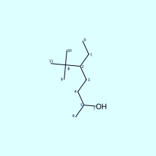 CCC(CCC(C)O)C(C)(C)C